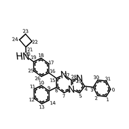 c1ccc(-c2cn3cc(-c4ccccc4)c(-c4ccc(NC5CCC5)cc4)nc3n2)cc1